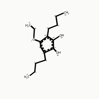 CCCCc1cc(OCC)c(CCCC)c(O)c1O